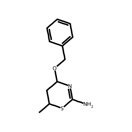 CC1CC(OCc2ccccc2)N=C(N)S1